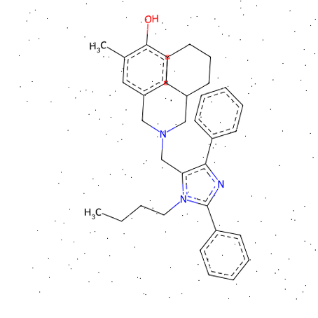 CCCCn1c(-c2ccccc2)nc(-c2ccccc2)c1CN(Cc1ccc(O)c(C)c1)CC1CCCCC1